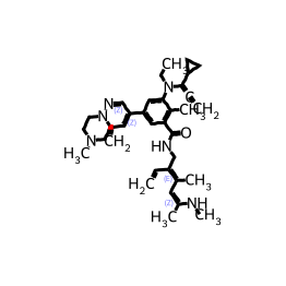 C=C=C(C1CC1)N(CC)c1cc(C(/C=N\N2CCN(C)CC2)=C/C=C)cc(C(=O)NC/C(C=C)=C(C)/C=C(/C)NC)c1C